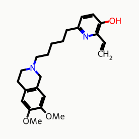 C=Cc1nc(CCCCCN2CCc3cc(OC)c(OC)cc3C2)ccc1O